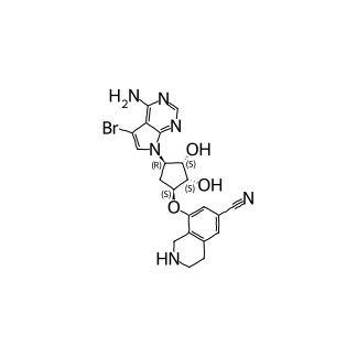 N#Cc1cc2c(c(O[C@H]3C[C@@H](n4cc(Br)c5c(N)ncnc54)[C@H](O)[C@@H]3O)c1)CNCC2